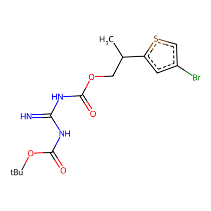 CC(COC(=O)NC(=N)NC(=O)OC(C)(C)C)c1cc(Br)cs1